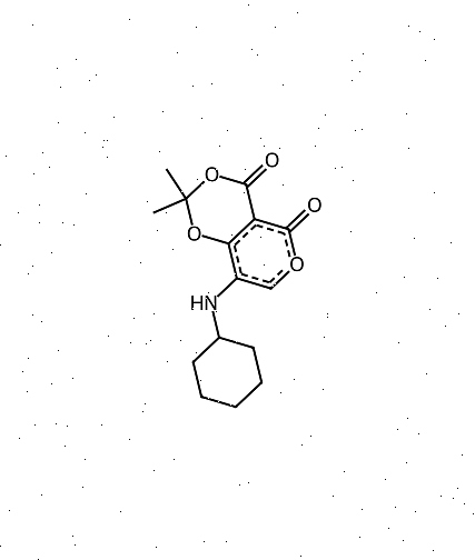 CC1(C)OC(=O)c2c(c(NC3CCCCC3)coc2=O)O1